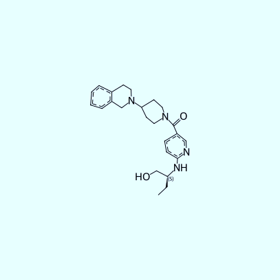 CC[C@@H](CO)Nc1ccc(C(=O)N2CCC(N3CCc4ccccc4C3)CC2)cn1